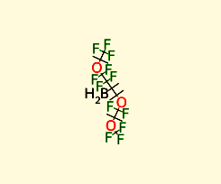 BC(C)(C(C)(C)OC(F)(F)C(C)(C)OC(F)(F)F)C(F)(F)C(F)(F)OC(C)(C)C(F)(F)F